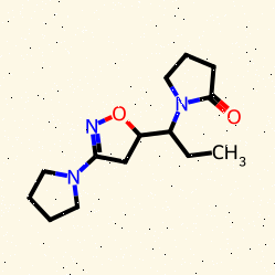 CCC(C1CC(N2CCCC2)=NO1)N1CCCC1=O